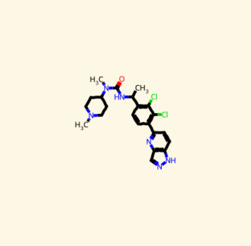 CC(NC(=O)N(C)C1CCN(C)CC1)c1ccc(-c2ccc3[nH]ncc3n2)c(Cl)c1Cl